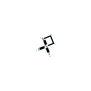 [S]=[Fe]1(=[S])=[N]C[CH2]1